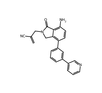 C=C(C#N)CN1Cc2c(-c3cccc(-c4cccnc4)c3)ccc(N)c2C1=O